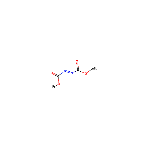 CCCCOC(=O)N=NC(=O)OC(C)C